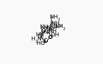 NCCC[C@H](N)CNC(=O)[C@H](CCCN)NC(=O)[C@@H]1Cc2cc(ccc2O)-c2ccc(O)c(c2)C[C@H](N)C(=O)N[C@@H](CCCN)C(=O)N1